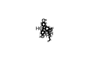 [2H]C([2H])(CCCC)C([2H])([2H])c1cc(C(O)(c2ccc(OC)cc2)c2ccc(OC)cc2)ccc1OC